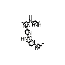 Cc1cc(Nc2cc(C)[nH]n2)nc(-c2ccc(C(=O)N[C@@H](C)c3ccc(-n4cc(F)cn4)nc3)nc2)n1